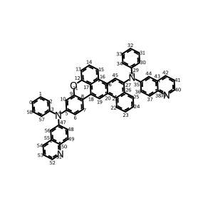 c1ccc(N(c2ccc3c(c2)Oc2cccc4c2c-3cc2c3ccccc3c(N(c3ccccc3)c3ccc5ncccc5c3)cc42)c2ccc3ncccc3c2)cc1